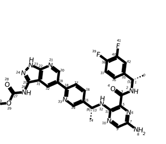 C[C@H](NC(=O)c1nc(N)cnc1N[C@H](C)c1ccc(-c2cnc3[nH]nc(NC(=O)OC(C)(C)C)c3c2)nc1)c1ccc(F)c(F)c1